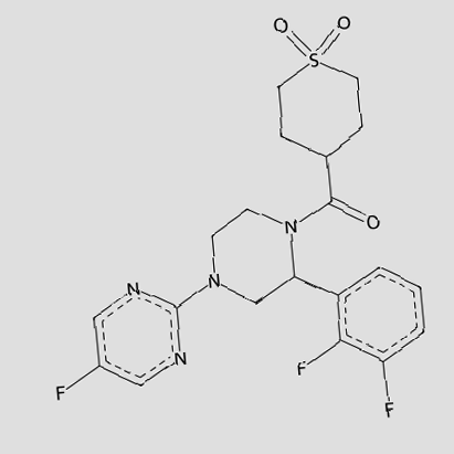 O=C(C1CCS(=O)(=O)CC1)N1CCN(c2ncc(F)cn2)CC1c1cccc(F)c1F